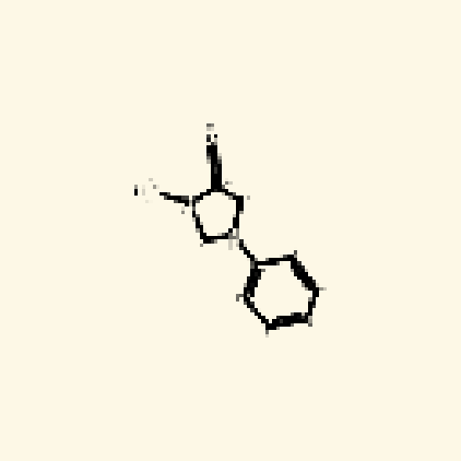 CN1CN(c2ccccc2)CC1=O